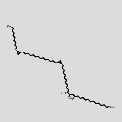 CCCCCCCCCCCCCCCCCCCCCCCCC(C(=O)O)[C@H](O)CCCCCCCCCCC[C@@H]1C[C@@H]1CCCCCCCCCCCCCC[C@@H]1C[C@@H]1CCCCCCCCCCCCCCCCCCCC